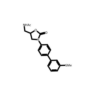 CSc1cccc(-c2ccc(N3CC(CNC(C)=O)OC3=O)cc2)c1